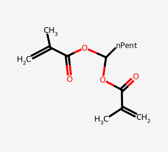 C=C(C)C(=O)OC(CCCCC)OC(=O)C(=C)C